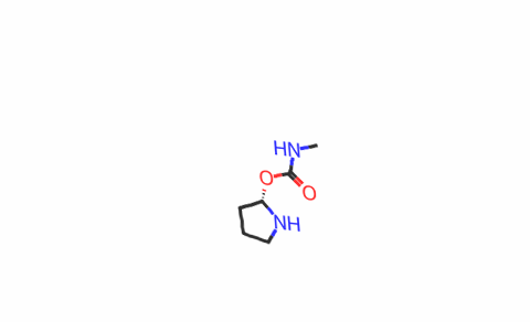 CNC(=O)O[C@H]1CCCN1